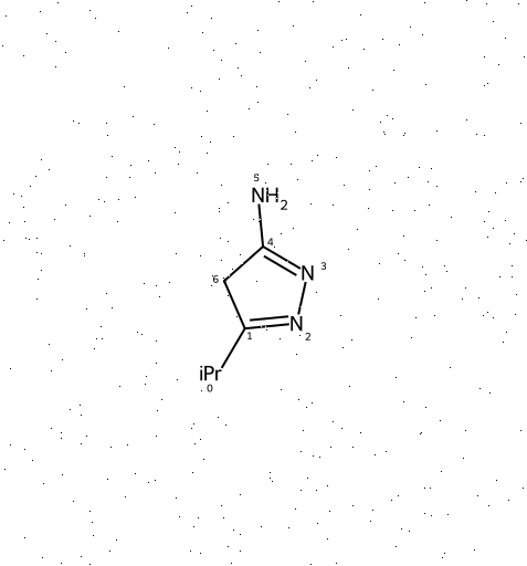 CC(C)C1=NN=C(N)C1